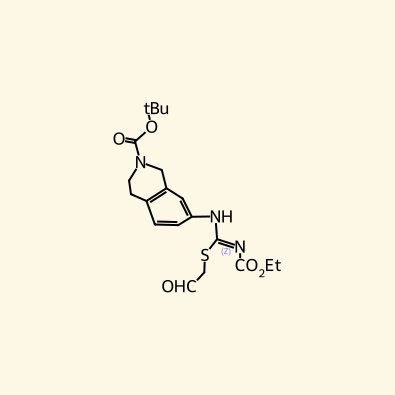 CCOC(=O)/N=C(/Nc1ccc2c(c1)CN(C(=O)OC(C)(C)C)CC2)SCC=O